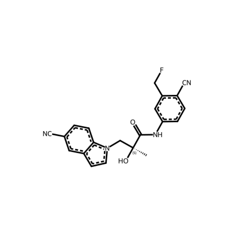 C[C@](O)(Cn1ccc2cc(C#N)ccc21)C(=O)Nc1ccc(C#N)c(CF)c1